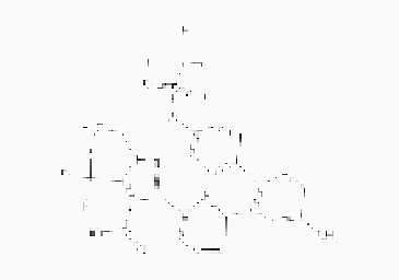 CCn1nc(-c2cccc(-c3cc(C)ccc3-c3ccc(OS(=O)(=O)C(F)(F)F)cc3)n2)c(C(=O)O)c1C(F)(F)F